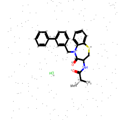 CN[C@@H](C)C(=O)NC1CSc2ccccc2N(Cc2cccc(-c3ccccc3)c2)C1=O.Cl